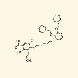 CCCc1c(O)c(C(=O)O)cc(Cl)c1OCCCCCCc1cccc(OCc2ccccc2)c1OCc1ccccc1